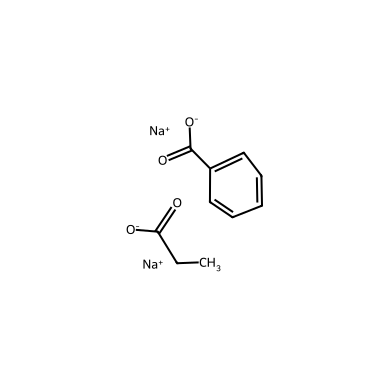 CCC(=O)[O-].O=C([O-])c1ccccc1.[Na+].[Na+]